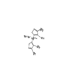 CC(C)C1=CC[C]([Hf+2][C]2=C(C(C)C)C(C(C)C)=CC2)=C1C(C)C.[Br-].[Br-]